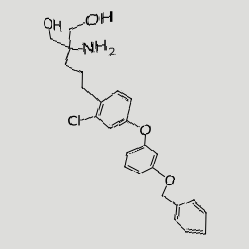 NC(CO)(CO)CCCc1ccc(Oc2cccc(OCc3ccccc3)c2)cc1Cl